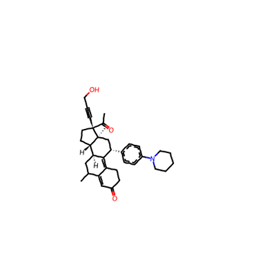 CC(=O)[C@@]1(C#CCO)CC[C@H]2[C@@H]3CC(C)C4=CC(=O)CCC4=C3[C@@H](c3ccc(N4CCCCC4)cc3)C[C@@]21C